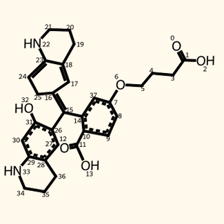 O=C(O)CCCOc1ccc(C(=O)O)c(/C(=C2\C=C3CCCNC3=CC2)c2cc3c(cc2O)NCCC3)c1